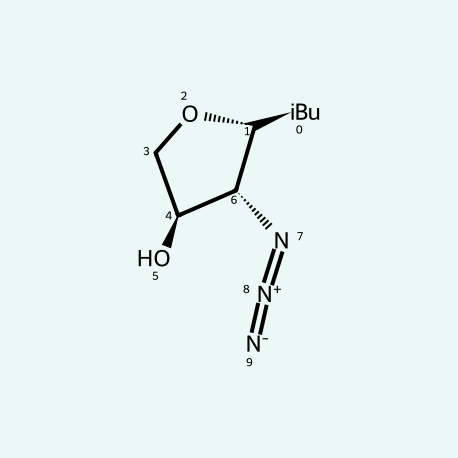 CC[C@H](C)[C@H]1OC[C@H](O)[C@H]1N=[N+]=[N-]